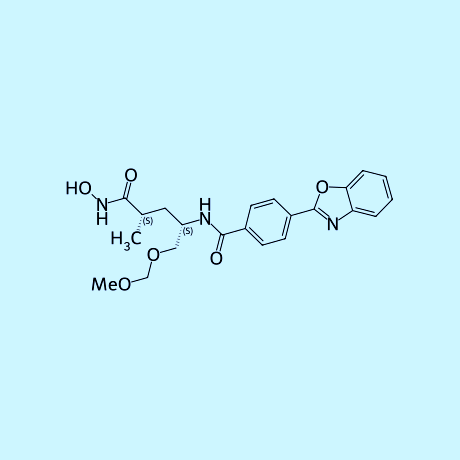 COCOC[C@H](C[C@H](C)C(=O)NO)NC(=O)c1ccc(-c2nc3ccccc3o2)cc1